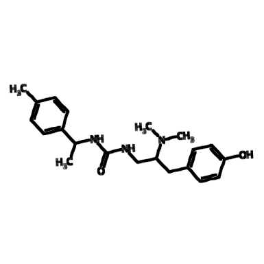 Cc1ccc(C(C)NC(=O)NCC(Cc2ccc(O)cc2)N(C)C)cc1